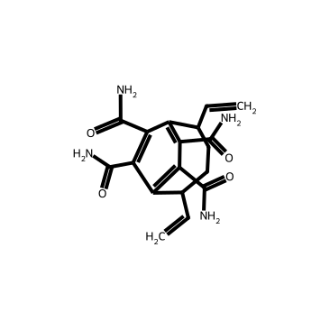 C=CC1CCC(C=C)c2c(C(N)=O)c(C(N)=O)c1c(C(N)=O)c2C(N)=O